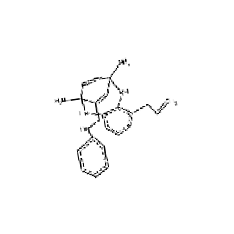 C=CCc1cccc2c1NC1(N)C=CC(N)(N2)C(CNc2ccccc2)=C1